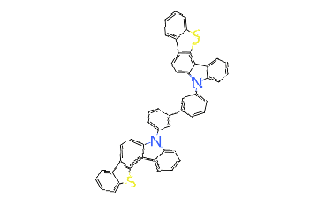 c1cc(-c2cccc(-n3c4ccccc4c4c5sc6ccccc6c5ccc43)c2)cc(-n2c3ccccc3c3c4sc5ccccc5c4ccc32)c1